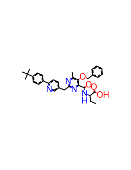 CCC(NC(=O)c1nc(Cc2ccc(-c3ccc(C(C)(C)C)cc3)nc2)nc(C)c1OCc1ccccc1)C(=O)O